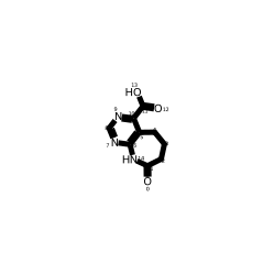 O=C1CCCc2c(ncnc2C(=O)O)N1